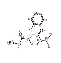 CN(C(=O)OC(C)(C)C)[C@H](Cc1ccccc1)C(=O)N(C)N(C)C